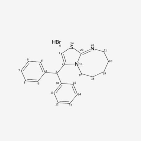 Br.C1=C(C(c2ccccc2)c2ccccc2)N2CCCCCN=C2S1